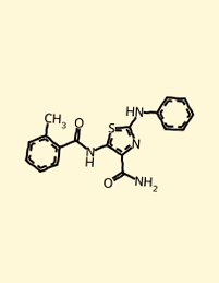 Cc1ccccc1C(=O)Nc1sc(Nc2ccccc2)nc1C(N)=O